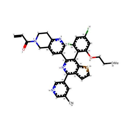 C=CC(=O)N1CCc2ncc(-c3nc(-c4cncc(C#N)c4)c4ccsc4c3-c3c(F)cc(F)cc3OCCOC)cc2C1